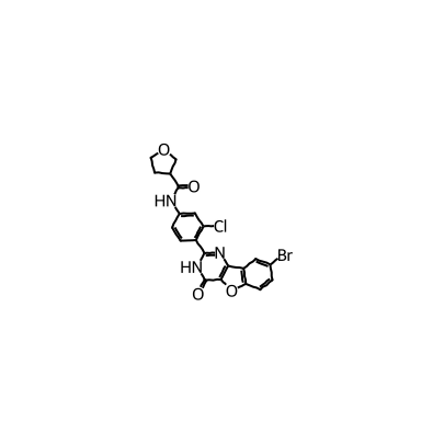 O=C(Nc1ccc(-c2nc3c(oc4ccc(Br)cc43)c(=O)[nH]2)c(Cl)c1)C1CCOC1